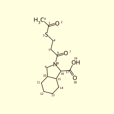 CC(=O)SCCC(=O)N1CC2CCCCC2C1C(=O)O